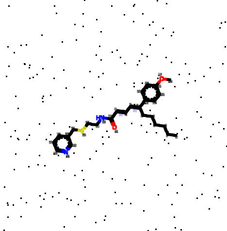 CCCCCC/C(=C\C=C\C(=O)NCCSCc1cccnc1)c1ccc(OC)cc1